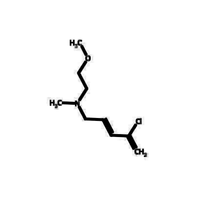 C=C(Cl)/C=C/CN(C)CCOC